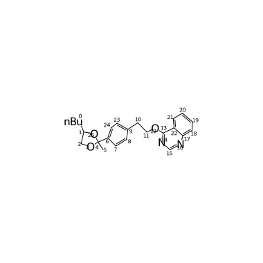 CCCCC1COC(C)(c2ccc(CCOc3ncnc4ccccc34)cc2)O1